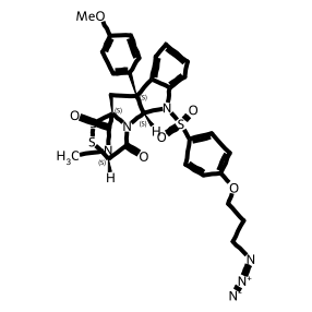 COc1ccc([C@]23C[C@@]45SS[C@@H](C(=O)N4[C@H]2N(S(=O)(=O)c2ccc(OCCCN=[N+]=[N-])cc2)c2ccccc23)N(C)C5=O)cc1